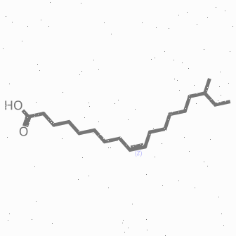 CCC(C)CCCCC/C=C\CCCCCCCC(=O)O